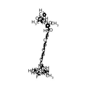 CC[C@@H]1C(=O)N(C)c2cnc(Nc3ccc(C(=O)NCCOCCOCCOCCOCCOCCOCCn4cc(Nc5nc(N6C[C@@H](F)[C@H](NC(=O)O)C6)nc6c5ncn6C)c(OC)n4)cc3OC)nc2N1C1CCCC1